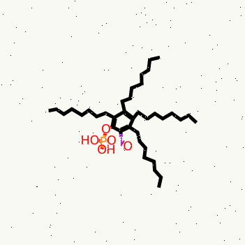 CCCCCCCCc1c(CCCCCCCC)c(CCCCCCCC)c(I=O)c(OP(=O)(O)O)c1CCCCCCCC